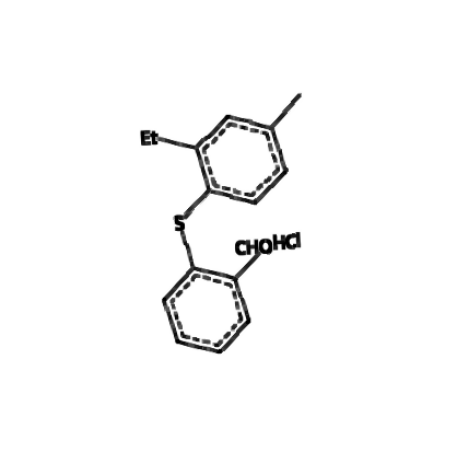 CCc1cc(C)ccc1Sc1ccccc1C=O.Cl